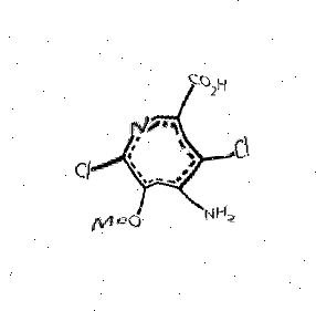 COc1c(Cl)nc(C(=O)O)c(Cl)c1N